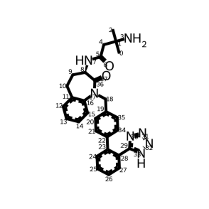 CC(C)(N)CC(=O)N[C@@H]1CCc2ccccc2N(Cc2ccc(-c3ccccc3-c3nnn[nH]3)cc2)C1=O